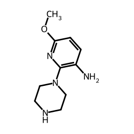 COc1ccc(N)c(N2CCNCC2)n1